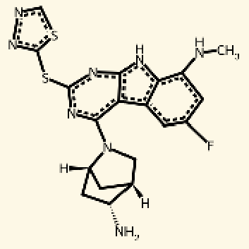 CNc1cc(F)cc2c1[nH]c1nc(Sc3nncs3)nc(N3C[C@H]4C[C@@H]3C[C@H]4N)c12